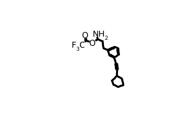 NC(CCc1cccc(C#CC2CCCCC2)c1)OC(=O)C(F)(F)F